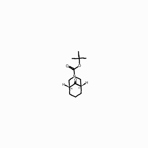 CC(C)(C)OC(=O)N1C[C@H]2CCC[C@@H](C1)C2=O